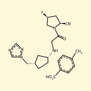 Cc1ccc(S(=O)(=O)O)cc1.N#C[C@@H]1C[C@H](F)CN1C(=O)CN[C@@H]1CC[C@H](Cn2cncn2)C1